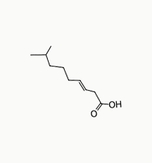 CC(C)CCC/C=C/CC(=O)O